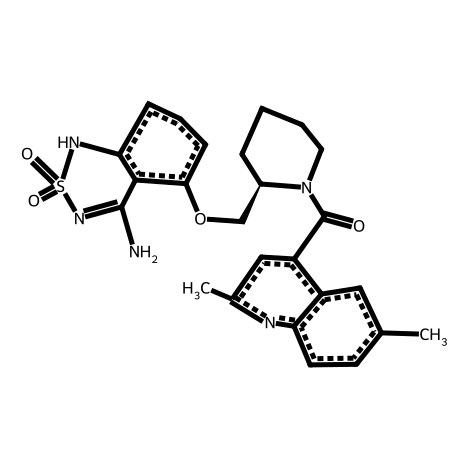 Cc1ccc2nc(C)cc(C(=O)N3CCCC[C@@H]3COc3cccc4c3C(N)=NS(=O)(=O)N4)c2c1